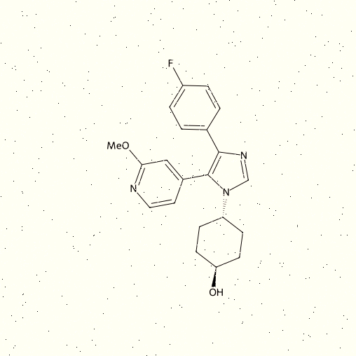 COc1cc(-c2c(-c3ccc(F)cc3)ncn2[C@H]2CC[C@H](O)CC2)ccn1